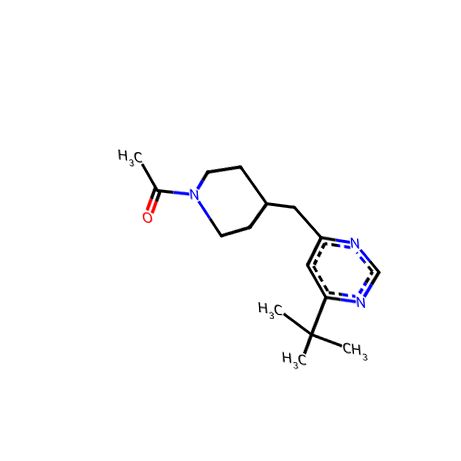 CC(=O)N1CCC(Cc2cc(C(C)(C)C)ncn2)CC1